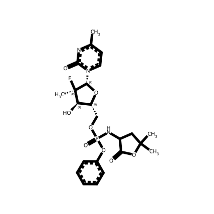 Cc1ccn([C@@H]2O[C@H](COP(=O)(NC3CC(C)(C)OC3=O)Oc3ccccc3)[C@@H](O)[C@@]2(C)F)c(=O)n1